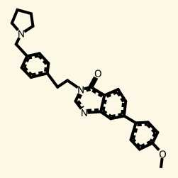 COc1ccc(-c2ccc3c(=O)n(CCc4ccc(CN5CCCC5)cc4)cnc3c2)cc1